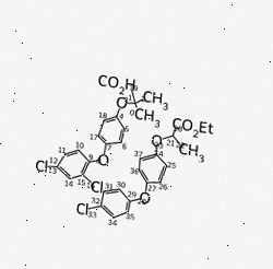 CC(C)(Oc1ccc(Oc2ccc(Cl)cc2Cl)cc1)C(=O)O.CCOC(=O)C(C)Oc1ccc(Oc2ccc(Cl)cc2)cc1